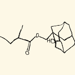 CCC(I)C(=O)OCC12CC3CC(C1)C(O)C(C3)C2